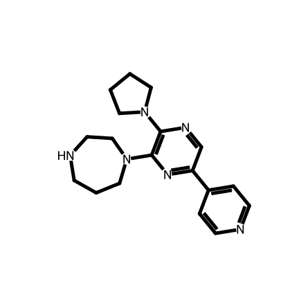 c1cc(-c2cnc(N3CCCC3)c(N3CCCNCC3)n2)ccn1